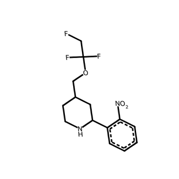 O=[N+]([O-])c1ccccc1C1CC(COC(F)(F)CF)CCN1